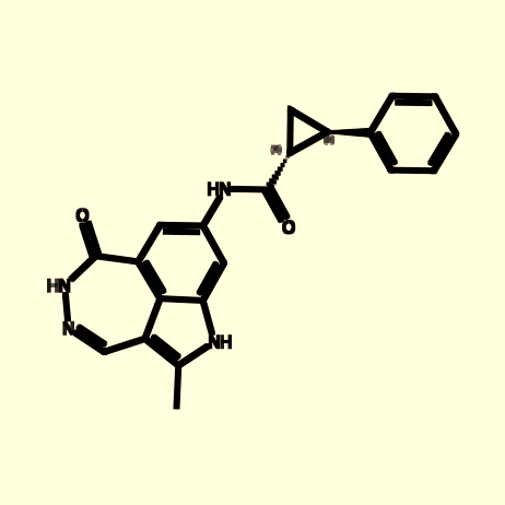 Cc1[nH]c2cc(NC(=O)[C@@H]3C[C@H]3c3ccccc3)cc3c2c1C=NNC3=O